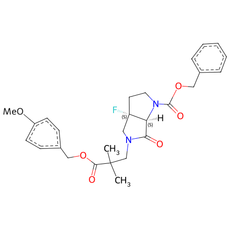 COc1ccc(COC(=O)C(C)(C)CN2C[C@@]3(F)CCN(C(=O)OCc4ccccc4)[C@H]3C2=O)cc1